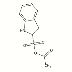 CC(=O)OS(=O)(=O)C1Cc2ccccc2N1